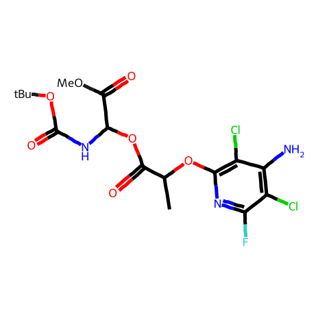 COC(=O)C(NC(=O)OC(C)(C)C)OC(=O)C(C)Oc1nc(F)c(Cl)c(N)c1Cl